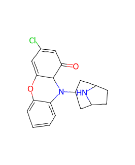 O=C1C=C(Cl)C=C2Oc3ccccc3N(C3CC4CCC(C3)N4)C12